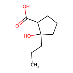 CCCC1(O)CCCC1C(=O)O